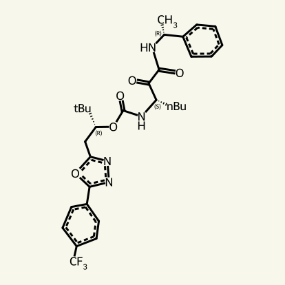 CCCC[C@H](NC(=O)O[C@H](Cc1nnc(-c2ccc(C(F)(F)F)cc2)o1)C(C)(C)C)C(=O)C(=O)N[C@H](C)c1ccccc1